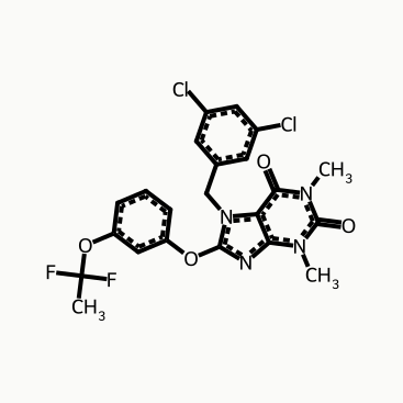 Cn1c(=O)c2c(nc(Oc3cccc(OC(C)(F)F)c3)n2Cc2cc(Cl)cc(Cl)c2)n(C)c1=O